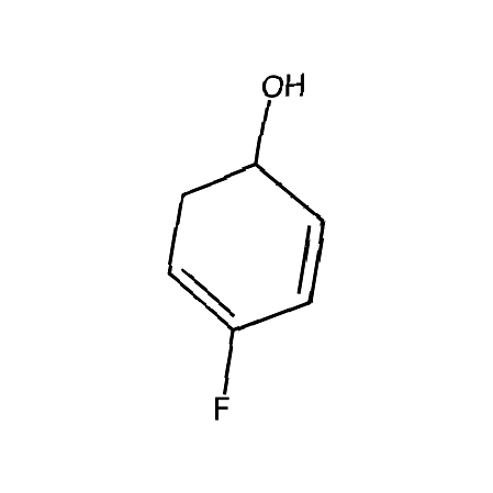 OC1C=CC(F)=CC1